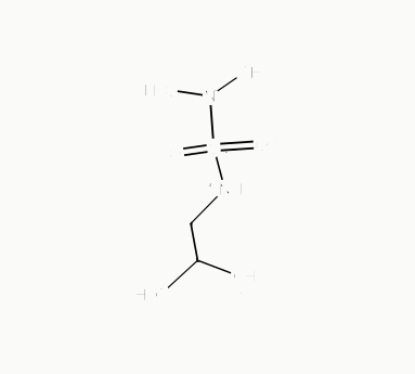 CC(C)CNS(=O)(=O)N(C)C